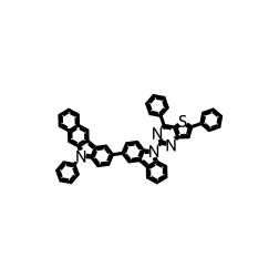 c1ccc(-c2cc3nc(-n4c5ccccc5c5cc(-c6ccc7c(c6)c6cc8ccccc8cc6n7-c6ccccc6)ccc54)nc(-c4ccccc4)c3s2)cc1